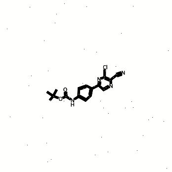 CC(C)(C)OC(=O)Nc1ccc(-c2cnc(C#N)c(Cl)n2)cc1